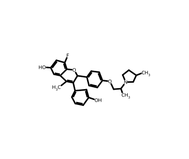 CC1=C(c2cccc(O)c2)C(c2ccc(OCC(C)N3CCC(C)C3)cc2)Oc2c(F)cc(O)cc21